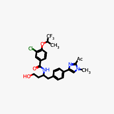 CC(=O)c1nc(-c2ccc(CC(CCO)NC(=O)c3ccc(OC(C)C(F)(F)F)c(Cl)c3)cc2)cn1C